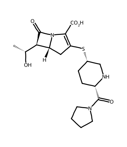 C[C@@H](O)[C@H]1C(=O)N2C(C(=O)O)=C(S[C@H]3CC[C@@H](C(=O)N4CCCC4)NC3)C[C@H]12